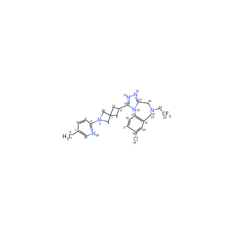 Cc1ccc(N2CC3(CC(c4nnc5n4-c4ccc(Cl)cc4CN(CC(F)(F)F)C5)C3)C2)nc1